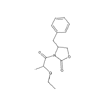 [CH2]C(OCC)C(=O)N1C(=O)OCC1Cc1ccccc1